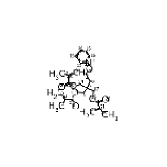 C=C(C)C(=O)OCC(CCO[n+]1ccccc1)(COC(=O)C(=C)C)COC(=O)C(=C)C